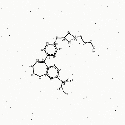 COC(=O)c1ccc2c(c1)CCCC=C2c1ccc(CC2CN(CCCF)C2)cc1